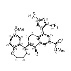 COC(=O)c1cc2c(c(-c3cn(C)nc3C(F)(F)F)c1)CCN([C@H]1CCCOc3ccc(OC)cc31)C2=O